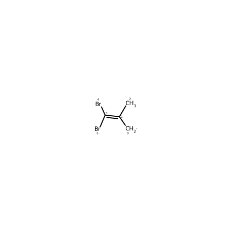 [CH2]C(C)=C(Br)Br